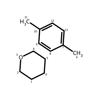 C1CCOCC1.Cc1ccc(C)cc1